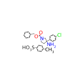 Cc1ccc(S(=O)(=O)O)cc1.NC1(c2ccc(Cl)cc2)CCN(C(=O)OCc2ccccc2)C1